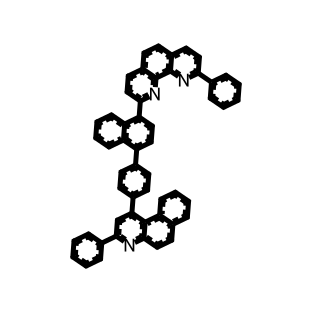 c1ccc(-c2cc(-c3ccc(-c4ccc(-c5ccc6ccc7ccc(-c8ccccc8)nc7c6n5)c5ccccc45)cc3)c3c(ccc4ccccc43)n2)cc1